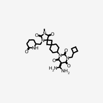 CN1C(=O)N(CC2CCCC(=O)N2)C2(CC3(CCC(N4C(=O)C(=C(N)N)C(=O)N(CC5CCC5)C4=O)CC3)C2)C1=O